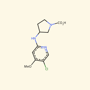 COc1cc(NC2CCN(C(=O)O)C2)ncc1Cl